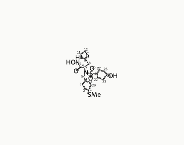 CSc1ccc(CN([C@H](Cc2cccs2)C(=O)NO)S(=O)(=O)c2ccc(O)cc2)cc1